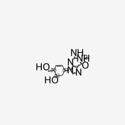 Nc1nc2c(ncn2[C@@H]2C=C[C@H](CO)[C@@H](O)C2)c(=O)[nH]1